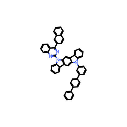 c1ccc(-c2ccc(-c3cccc(-n4c5ccccc5c5cc6c(cc54)c4ccccc4n6-c4nc(-c5ccc6ccccc6c5)c5ccccc5n4)c3)cc2)cc1